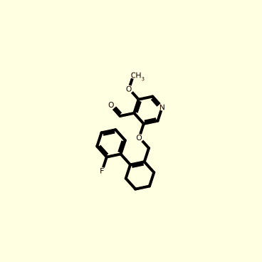 COc1cncc(OCC2=C(c3ccccc3F)CCCC2)c1C=O